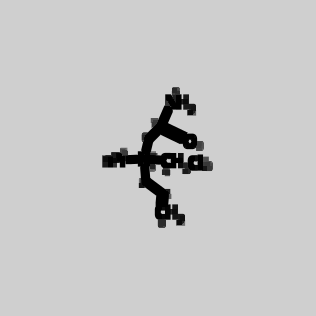 C=CC[N+](C)(CCC)CC(N)=O.[Cl-]